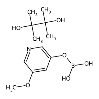 CC(C)(O)C(C)(C)O.COc1cncc(OB(O)O)c1